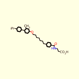 Cc1cc(OCCCCCCCc2ccc(C(=O)NCCC(=O)O)cc2)ccc1-c1ccc(C(C)C)cc1